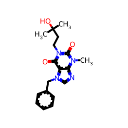 Cn1c(=O)n(CCC(C)(C)O)c(=O)c2c1ncn2Cc1ccccc1